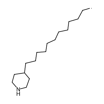 [CH2]CCCCCCCCCCCC1CCNCC1